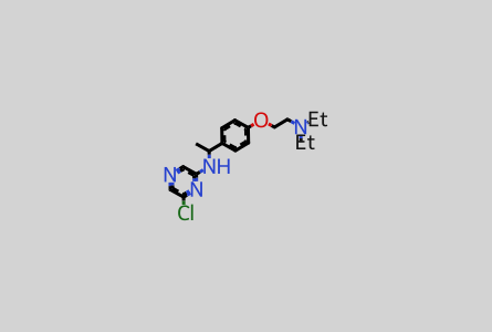 CCN(CC)CCOc1ccc(C(C)Nc2cncc(Cl)n2)cc1